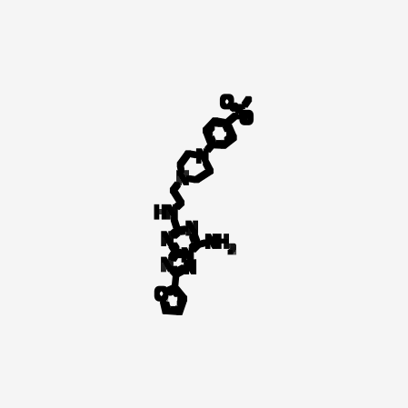 CS(=O)(=O)c1ccc(N2CCN(CCNc3nc(N)n4nc(-c5ccco5)nc4n3)CC2)cc1